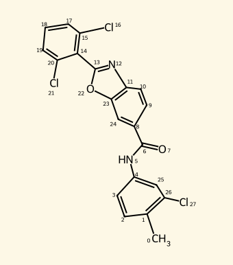 Cc1ccc(NC(=O)c2ccc3nc(-c4c(Cl)cccc4Cl)oc3c2)cc1Cl